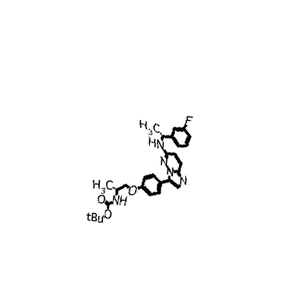 C[C@H](COc1ccc(-c2cnc3ccc(N[C@H](C)c4cccc(F)c4)nn23)cc1)NC(=O)OC(C)(C)C